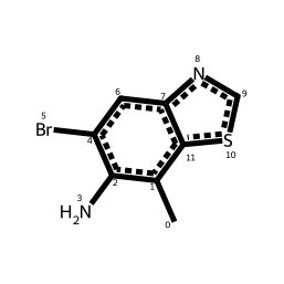 Cc1c(N)c(Br)cc2ncsc12